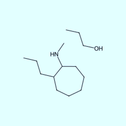 CCCC1CCCCCC1NC.CCCO